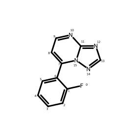 Fc1ccccc1-c1ccnc2ncnn12